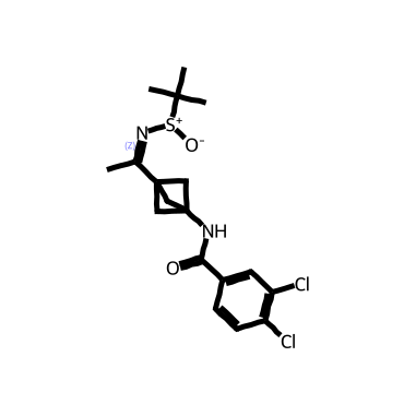 C/C(=N/[S+]([O-])C(C)(C)C)C12CC(NC(=O)c3ccc(Cl)c(Cl)c3)(C1)C2